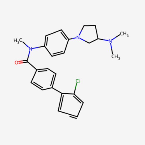 CN(C(=O)c1ccc(-c2ccccc2Cl)cc1)c1ccc(N2CCC(N(C)C)C2)cc1